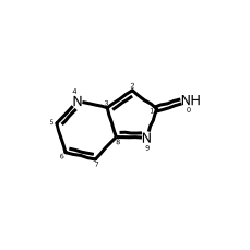 N=C1C=c2ncccc2=N1